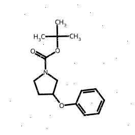 CC(C)(C)OC(=O)N1CCC(Oc2ccccc2)C1